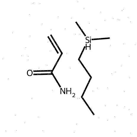 C=CC(N)=O.CCCC[SiH](C)C